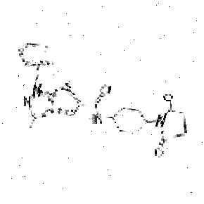 Cc1nn(-c2ccccc2)c2sc(C(=O)NC3CCC(N4C(=O)CCC4=O)CC3)cc12